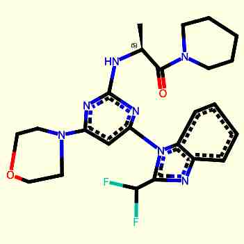 C[C@H](Nc1nc(N2CCOCC2)cc(-n2c(C(F)F)nc3ccccc32)n1)C(=O)N1CCCCC1